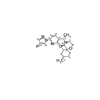 CC1CCC2(CC1)OCCN([C@@H](C)c1ccc(-n3cc(F)cn3)nc1)C2=O